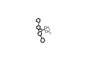 CC(C)n1c2cc(-c3ccccc3)ccc2c2ccc(-c3ccccc3)cc21